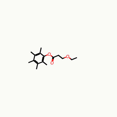 CCOCCC(=O)Oc1c(C)c(C)c(C)c(C)c1C